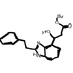 CC(C)(C)OC(=O)CC(O)c1cccc2[nH]c(CCc3ccccc3)nc12